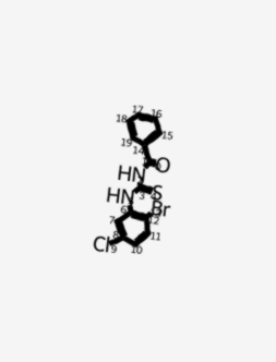 O=C(NC(=S)Nc1cc(Cl)ccc1Br)c1ccccc1